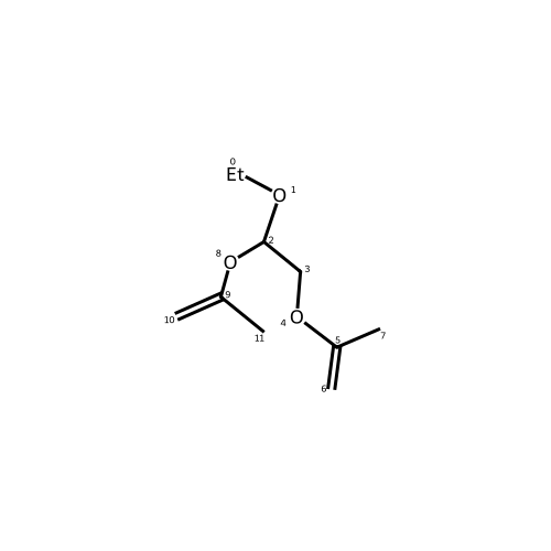 [CH2]COC(COC(=C)C)OC(=C)C